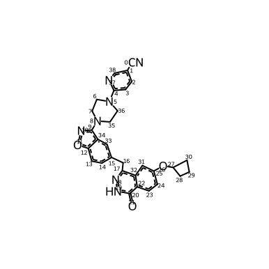 N#Cc1ccc(N2CCN(c3noc4ccc(Cc5n[nH]c(=O)c6ccc(OC7CCC7)cc56)cc34)CC2)nc1